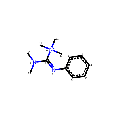 CN(C)C(=Nc1ccccc1)[N+](C)(C)C